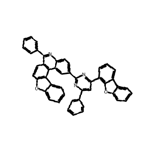 c1ccc(-c2cc(-c3cccc4c3oc3ccccc34)nc(-c3ccc4nc(-c5ccccc5)c5ccc6oc7ccccc7c6c5c4c3)n2)cc1